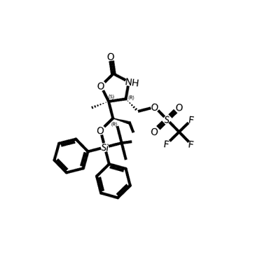 CC[C@@H](O[Si](c1ccccc1)(c1ccccc1)C(C)(C)C)[C@@]1(C)OC(=O)N[C@@H]1COS(=O)(=O)C(F)(F)F